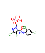 O=C(Nc1ccc(Cl)cc1Cl)c1c(F)c(Cl)nn1COP(=O)(O)O